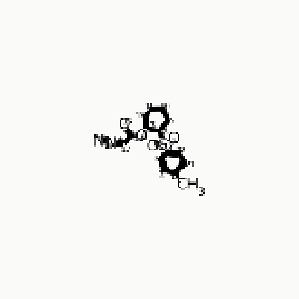 Cc1ccc(S(=O)(=O)C2CCCCC2OC(=O)C=[N+]=[N-])cc1